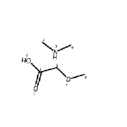 CNC.COCC(=O)O